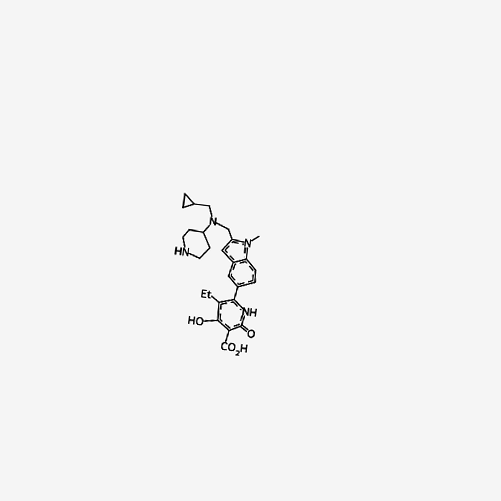 CCc1c(-c2ccc3c(c2)cc(CN(CC2CC2)C2CCNCC2)n3C)[nH]c(=O)c(C(=O)O)c1O